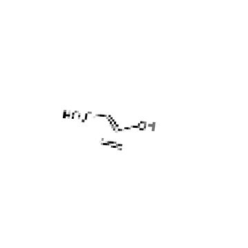 C=C.O=C(O)C=CO